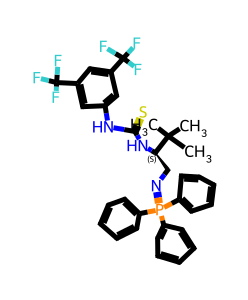 CC(C)(C)[C@@H](CN=P(c1ccccc1)(c1ccccc1)c1ccccc1)NC(=S)Nc1cc(C(F)(F)F)cc(C(F)(F)F)c1